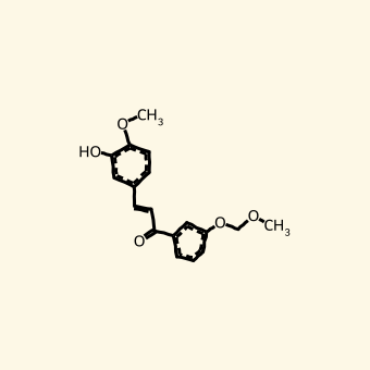 COCOc1cccc(C(=O)C=Cc2ccc(OC)c(O)c2)c1